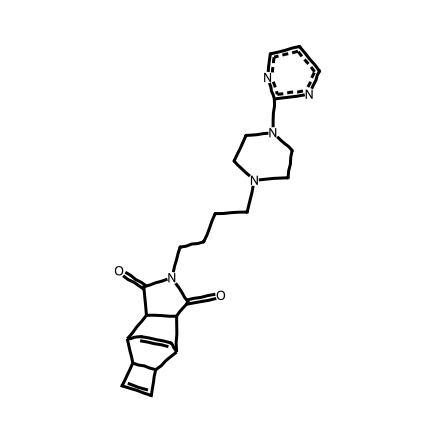 O=C1C2C3C=CC(C4C=CC43)C2C(=O)N1CCCCN1CCN(c2ncccn2)CC1